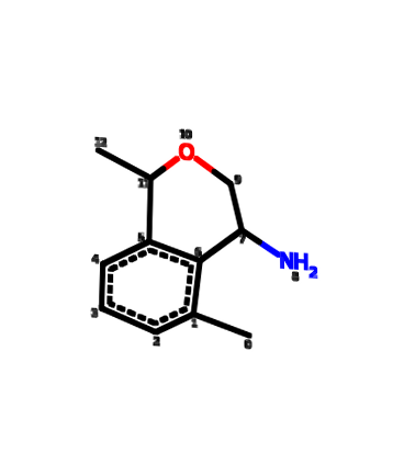 Cc1cccc2c1C(N)COC2C